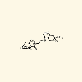 CC1CC2(C)OC2CC1C(=O)NCCNC(=O)C1CC2OC2(C)CC1C